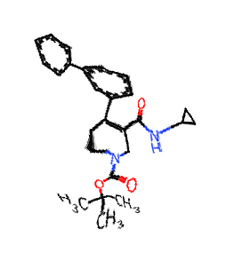 CC(C)(C)OC(=O)N1CCC(c2cccc(-c3ccccc3)c2)=C(C(=O)NC2CC2)C1